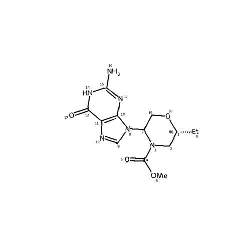 CC[C@@H]1CN(C(=O)OC)C(n2cnc3c(=O)[nH]c(N)nc32)CO1